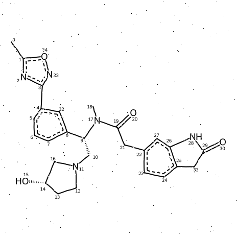 Cc1nc(-c2cccc([C@@H](CN3CC[C@H](O)C3)N(C)C(=O)Cc3ccc4c(c3)NC(=O)C4)c2)no1